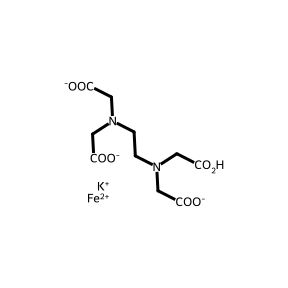 O=C([O-])CN(CCN(CC(=O)[O-])CC(=O)O)CC(=O)[O-].[Fe+2].[K+]